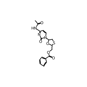 CC(=O)Nc1ccn(C2CSC(COC(=O)c3ccccc3)O2)c(=O)n1